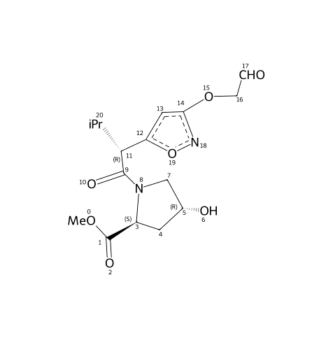 COC(=O)[C@@H]1C[C@@H](O)CN1C(=O)[C@@H](c1cc(OCC=O)no1)C(C)C